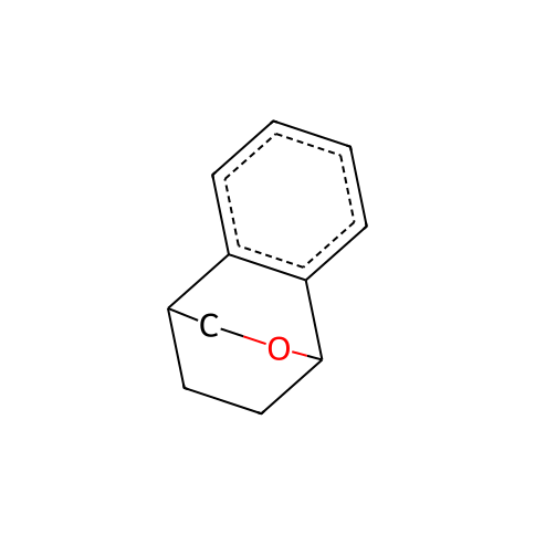 c1ccc2c(c1)C1CCC2OC1